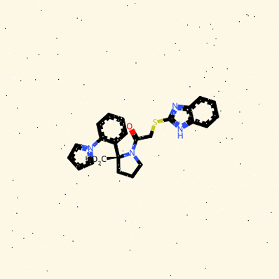 O=C(CSc1nc2ccccc2[nH]1)N1CCC[C@]1(C(=O)O)c1ccccc1-n1cccc1